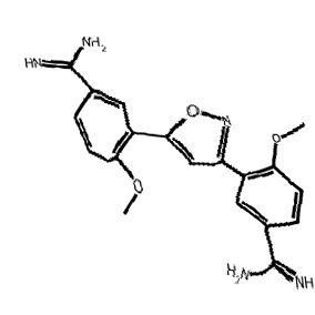 COc1ccc(C(=N)N)cc1-c1cc(-c2cc(C(=N)N)ccc2OC)on1